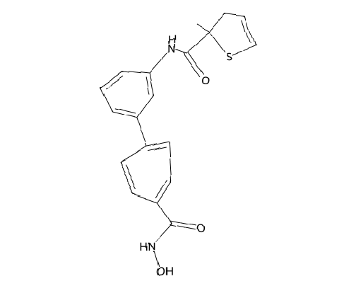 CC1(C(=O)Nc2cccc(-c3ccc(C(=O)NO)cc3)c2)CC=CS1